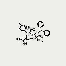 N=C(N)NCCC[C@](N)(C(=O)CC(c1ccccc1)c1ccccc1)C(=O)N[C@@H](Cc1ccc(I)cc1)C(N)=O